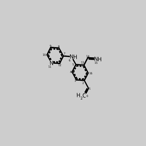 C=Cc1ccc(Nc2cccnc2)c(C=N)c1